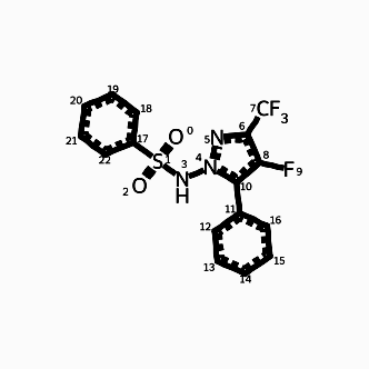 O=S(=O)(Nn1nc(C(F)(F)F)c(F)c1-c1ccccc1)c1ccccc1